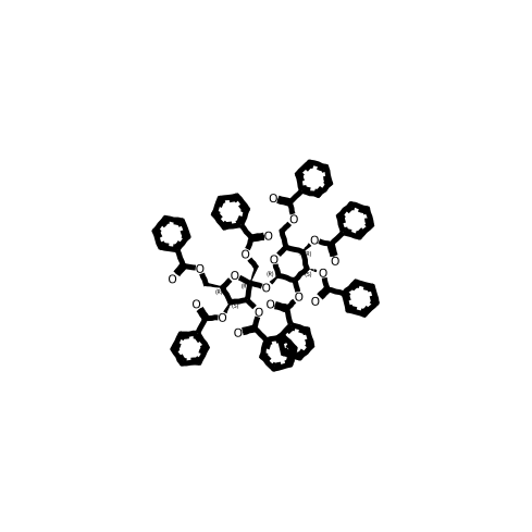 O=C(OCC1O[C@H](O[C@@]2(COC(=O)c3ccccc3)O[C@H](COC(=O)c3ccccc3)[C@H](OC(=O)c3ccccc3)C2OC(=O)c2ccccc2)C(OC(=O)c2ccccc2)[C@@H](OC(=O)c2ccccc2)[C@@H]1OC(=O)c1ccccc1)c1ccccc1